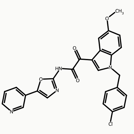 COc1ccc2c(c1)c(C(=O)C(=O)Nc1ncc(-c3cccnc3)o1)cn2Cc1ccc(Cl)cc1